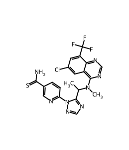 CC(c1ncnn1-c1ccc(C(N)=S)cn1)N(C)c1ncnc2c(C(F)(F)F)cc(Cl)cc12